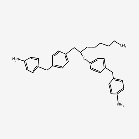 CCCCCCC(Cc1ccc(Cc2ccc(N)cc2)cc1)Cc1ccc(Cc2ccc(N)cc2)cc1